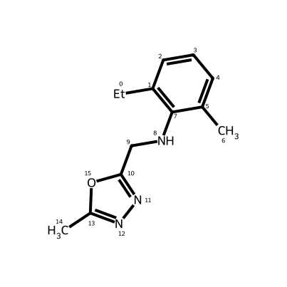 CCc1cccc(C)c1NCc1nnc(C)o1